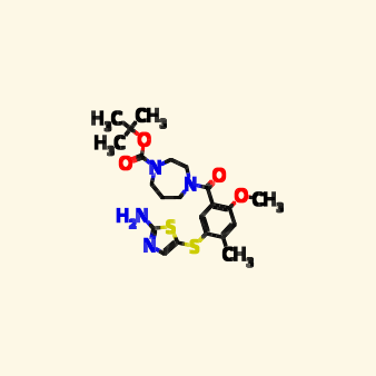 COc1cc(C)c(Sc2cnc(N)s2)cc1C(=O)N1CCCN(C(=O)OC(C)(C)C)CC1